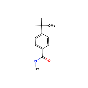 COC(C)(C)c1ccc(C(=O)NC(C)C)cc1